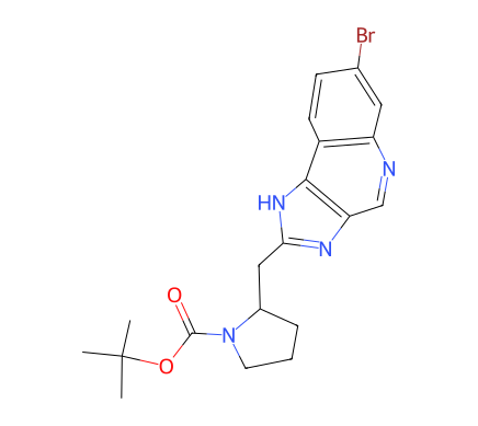 CC(C)(C)OC(=O)N1CCCC1Cc1nc2cnc3cc(Br)ccc3c2[nH]1